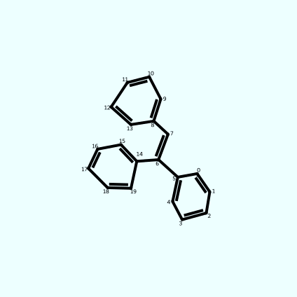 [c]1ccccc1C(=Cc1ccccc1)c1ccccc1